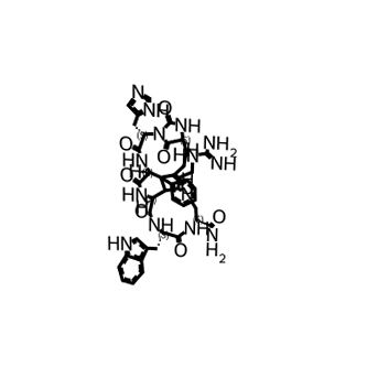 N=C(N)NCCC1NC[C@@H](C(N)=O)NC(=O)[C@H](Cc2c[nH]c3ccccc23)NC(=O)[C@H]2NC(=O)[C@@H]3NC(=O)[C@H](Cc4cnc[nH]4)N4C(=O)N[C@@H](CCC(=O)C3(c3ccccc3)C12)C4=O